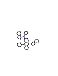 c1ccc(-c2c3ccccc3c(-c3ccc4ccccc4c3)c3ccc(N(c4ccccc4)c4cccc5ccccc45)cc23)cc1